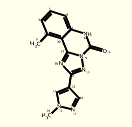 Cc1cccc2[nH]c(=O)n3nc(-c4cnn(C)c4)nc3c12